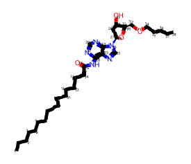 CCCCCCCCCCCCCCCC(=O)Nc1ncnc2c1ncn2[C@H]1CC(O)[C@@H](COCCCCC)O1